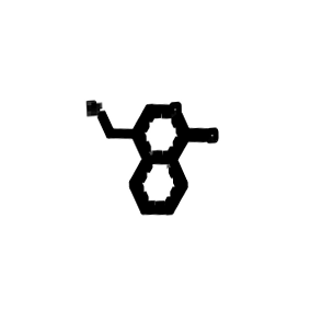 O=c1occ(CBr)c2ccccc12